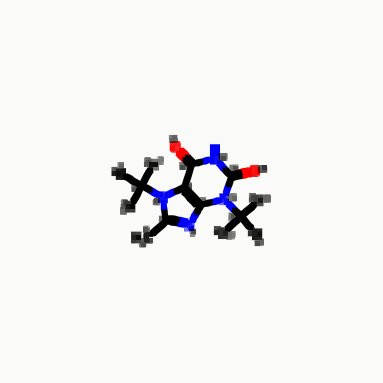 [2H]C([2H])([2H])n1c(C)nc2c1c(=O)[nH]c(=O)n2C([2H])([2H])[2H]